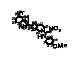 COc1ccc(N/C(=C/[N+](=O)[O-])N2CCc3nc(C(=O)Nc4cc(C(C)C)ccc4N)sc3C2)cc1